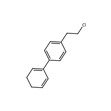 ClCCc1ccc(C2=C[CH]CC=C2)cc1